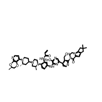 C=CC(=O)Nc1cc(Nc2nc(-c3ccnc(N4CCn5c(cc6c5CC(C)(C)C6)C4=O)c3CO)cnc2OC)ccc1N1CCN(C2CCN(c3ccnc4c3OC[C@@H](C)O4)[C@@H](C)C2)C[C@@H]1C